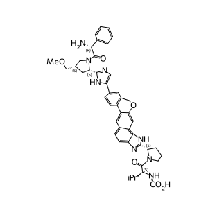 COC[C@H]1C[C@@H](c2ncc(-c3ccc4c(c3)COc3cc5c(ccc6nc([C@@H]7CCCN7C(=O)[C@@H](NC(=O)O)C(C)C)[nH]c65)cc3-4)[nH]2)N(C(=O)[C@H](N)c2ccccc2)C1